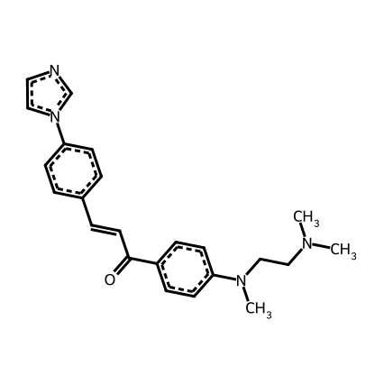 CN(C)CCN(C)c1ccc(C(=O)C=Cc2ccc(-n3ccnc3)cc2)cc1